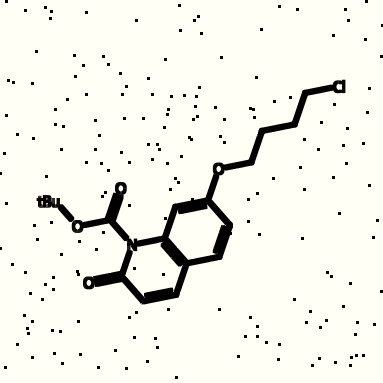 CC(C)(C)OC(=O)n1c(=O)ccc2ccc(OCCCCCl)cc21